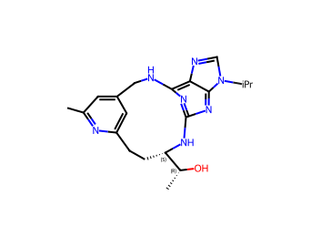 Cc1cc2cc(n1)CC[C@@H]([C@@H](C)O)Nc1nc(c3ncn(C(C)C)c3n1)NC2